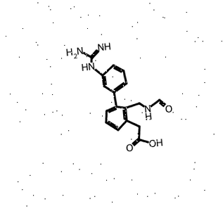 N=C(N)Nc1cccc(-c2cccc(CC(=O)O)c2CNC=O)c1